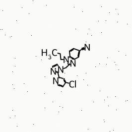 CCCn1c(Cn2ccnc2-c2cc(Cl)ccn2)nc2cc(C#N)ccc21